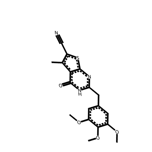 COc1cc(Cc2nc3sc(C#N)c(C)c3c(=O)[nH]2)cc(OC)c1OC